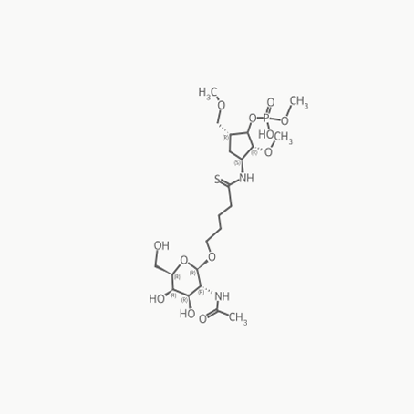 COC[C@H]1C[C@H](NC(=S)CCCCO[C@@H]2O[C@H](CO)[C@H](O)[C@H](O)[C@H]2NC(C)=O)[C@@H](OC)C1OP(=O)(O)OC